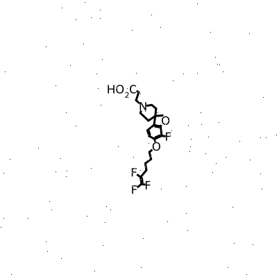 O=C(O)CCN1CCC2(CC1)COc1c2ccc(OCCCCC(F)=C(F)F)c1F